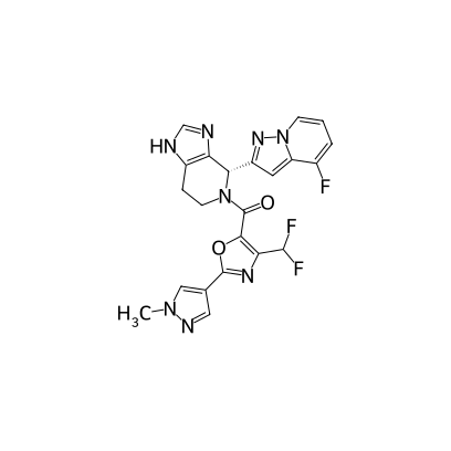 Cn1cc(-c2nc(C(F)F)c(C(=O)N3CCc4[nH]cnc4[C@@H]3c3cc4c(F)cccn4n3)o2)cn1